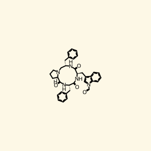 O=Cn1cc(C[C@H]2NC(=O)[C@H](Cc3ccccc3)NC(=O)[C@H]3CCCN3C[C@H](Cc3ccccc3)NC2=O)c2ccccc21